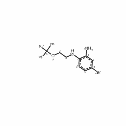 Nc1cc(Br)cnc1NCCOC(F)(F)F